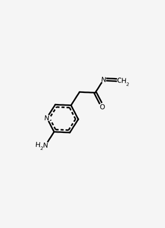 C=NC(=O)Cc1ccc(N)nc1